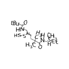 CC[SH](C)CNC(=O)C(C)(C)CC[C@H](CNC(=O)C(C)(C)C)SS